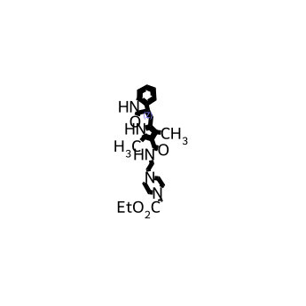 CCOC(=O)CN1CCN(CCNC(=O)c2c(C)[nH]c(/C=C3\C(=O)Nc4ccccc43)c2C)CC1